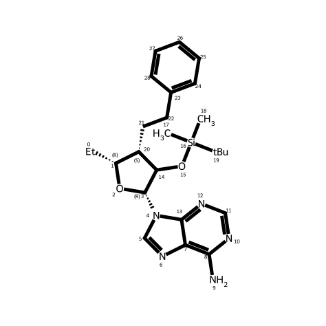 CC[C@H]1O[C@@H](n2cnc3c(N)ncnc32)C(O[Si](C)(C)C(C)(C)C)[C@H]1CCc1ccccc1